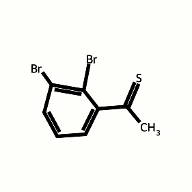 CC(=S)c1cccc(Br)c1Br